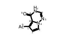 CC(=O)c1ccn2nc[nH]c(=O)c12